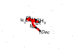 CCCCCCCCCCCCCCCCCCCCCCCCC#CC(C=Nc1ccc(N(C)CC)cc1)=Nc1ccc(N(C)CC)cc1.[Ni]